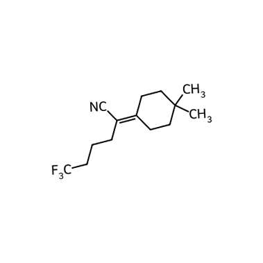 CC1(C)CCC(=C(C#N)CCCC(F)(F)F)CC1